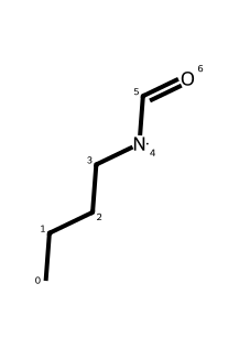 CCCC[N]C=O